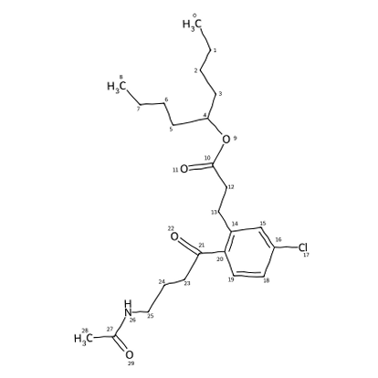 CCCCC(CCCC)OC(=O)CCc1cc(Cl)ccc1C(=O)CCCNC(C)=O